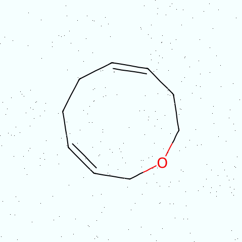 C1=C\CCOC/C=C\CC/1